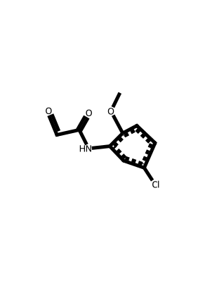 COc1ccc(Cl)cc1NC(=O)C=O